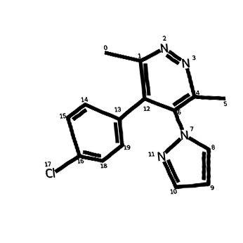 Cc1nnc(C)c(-n2cccn2)c1-c1ccc(Cl)cc1